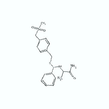 CC(NC(OCc1ccc(CS(C)(=O)=O)cc1)c1ccccc1)C(N)=O